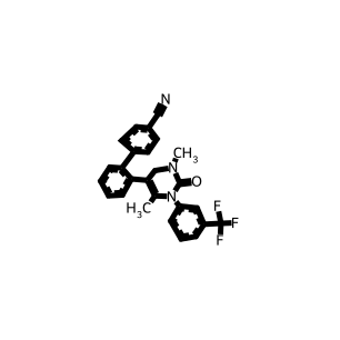 CC1=C(c2ccccc2-c2ccc(C#N)cc2)CN(C)C(=O)N1c1cccc(C(F)(F)F)c1